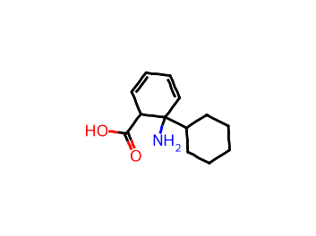 NC1(C2CCCCC2)C=CC=CC1C(=O)O